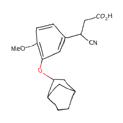 COc1ccc(C(C#N)CC(=O)O)cc1OC1CC2CCC1C2